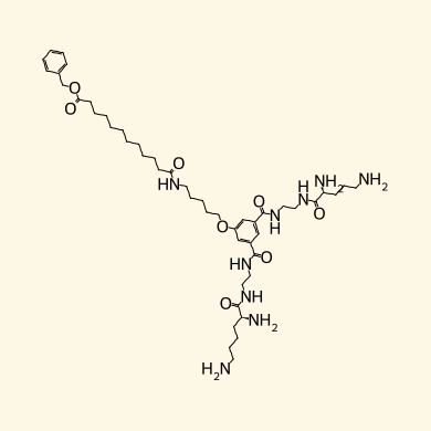 NCCCC[C@H](N)C(=O)NCCNC(=O)c1cc(OCCCCCNC(=O)CCCCCCCCCCC(=O)OCc2ccccc2)cc(C(=O)NCCNC(=O)[C@@H](N)CCCN)c1